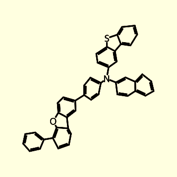 c1ccc(-c2cccc3c2oc2ccc(-c4ccc(N(c5ccc6ccccc6c5)c5ccc6sc7ccccc7c6c5)cc4)cc23)cc1